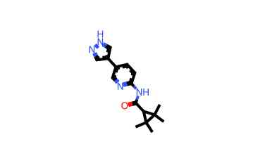 CC1(C)C(C(=O)Nc2ccc(-c3cn[nH]c3)cn2)C1(C)C